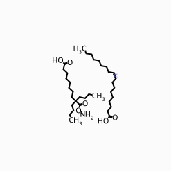 CCCCC(CCCC)(CCCCCCCC(=O)O)C(=O)ON.CCCCCCCC/C=C\CCCCCCCC(=O)O